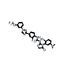 CC(C)c1ccc(N(C)C)cc1N1C(=O)CS/C1=N\C(=O)Nc1ccc(-c2ncn(-c3cccc(OC(F)(F)F)c3)n2)cc1F